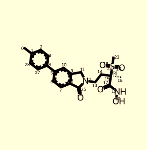 Cc1ccc(-c2ccc3c(c2)CN(CC[C@](C)(C(=O)NO)S(C)(=O)=O)C3=O)cc1